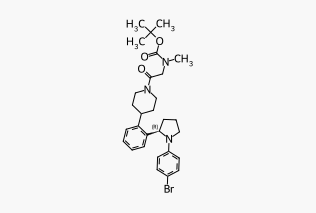 CN(CC(=O)N1CCC(c2ccccc2[C@H]2CCCN2c2ccc(Br)cc2)CC1)C(=O)OC(C)(C)C